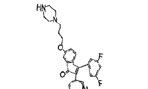 O=C1C(c2cccnc2)=C(c2cc(F)cc(F)c2)c2ccc(OCCCN3CCNCC3)cc21